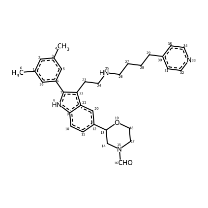 Cc1cc(C)cc(-c2[nH]c3ccc(C4CN(C=O)CCO4)cc3c2CCNCCCCc2ccncc2)c1